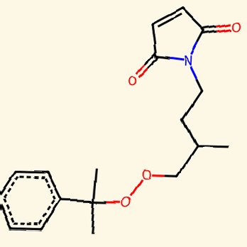 CC(CCN1C(=O)C=CC1=O)COOC(C)(C)c1ccccc1